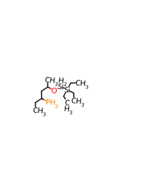 CCC(P)CC(C)O[SiH2][Si](CC)(CC)CC